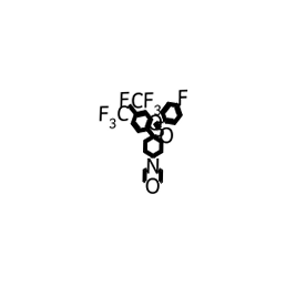 O=S(=O)(c1ccc(F)cc1)C1(c2ccc(C(F)(C(F)(F)F)C(F)(F)F)cc2)CCC(N2CCOCC2)CC1